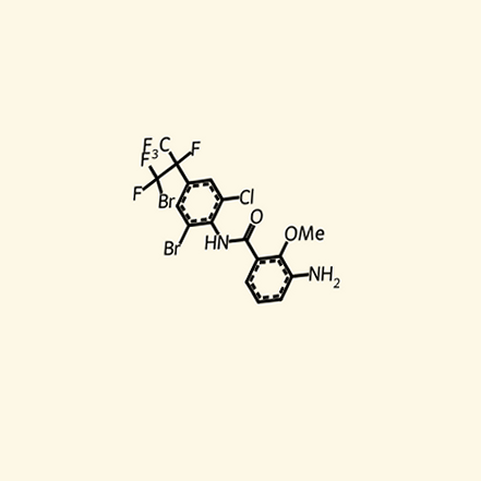 COc1c(N)cccc1C(=O)Nc1c(Cl)cc(C(F)(C(F)(F)F)C(F)(F)Br)cc1Br